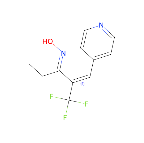 CCC(=NO)/C(=C\c1ccncc1)C(F)(F)F